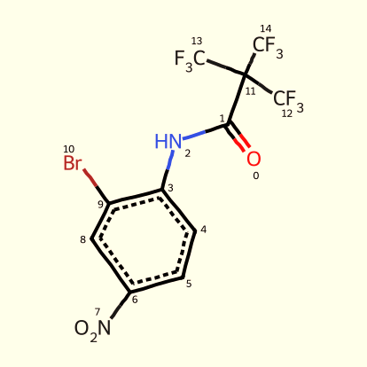 O=C(Nc1ccc([N+](=O)[O-])cc1Br)C(C(F)(F)F)(C(F)(F)F)C(F)(F)F